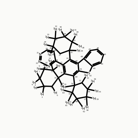 [2H]C1C([2H])([2H])C([2H])([2H])C([2H])([2H])C([2H])([2H])C1([2H])c1c(-c2ccnnn2)c(C2([2H])CC([2H])([2H])C([2H])([2H])C([2H])([2H])C2([2H])[2H])c2c(sc3ccccc32)c1C1([2H])C([2H])C([2H])([2H])C([2H])([2H])C([2H])([2H])C1([2H])[2H]